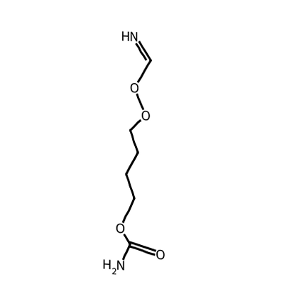 N=COOCCCCOC(N)=O